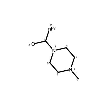 CCCC([O])N1CCN(C)CC1